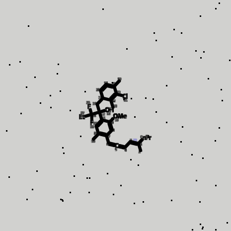 CCC/C(C)=C/C=C=Cc1cc(OC)c(C(O)(CC2C=C=C(C)C(Cl)=C2C)C(F)(F)CC)cc1C